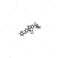 CC(C)NS(=O)(=O)Nc1ccc(-c2c(N)c3ccc(Oc4cnccn4)cc3n2C2CCC2)cc1